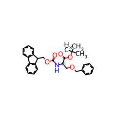 CC(C)(C)OC(=O)[C@@H](COCc1ccccc1)NC(=O)OCC1c2ccccc2-c2ccccc21